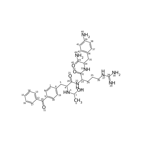 CC(O)NC(Cc1ccc(C(=O)c2ccccc2)cc1)C(=O)NC(CCCNC(=N)N)C(=O)NC(Cc1ccc(N)cc1)C(N)=O